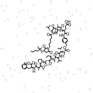 CCCCC(C)(I)SC1CC(=O)N(CCCCCC(=O)N[C@H](CC(C)C)C(=O)N[C@@H](C)C(=O)N[C@@H](CCC(=O)O)C(=O)Nc2ccc(COC(=O)N(C)[C@H](C(=O)N[C@H](C(=O)N(C)[C@@H]([C@@H](C)CC)[C@@H](CC(=O)N3CCC[C@H]3[C@H](OC)[C@@H](C)C(=O)N[C@@H](Cc3ccccc3)C(=O)O)OC)C(C)C)C(C)C)cc2)C1=O